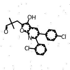 CC(C)(C=O)Cc1oc2nc(-c3ccccc3Cl)c(-c3ccc(Cl)cc3)cc2c1O